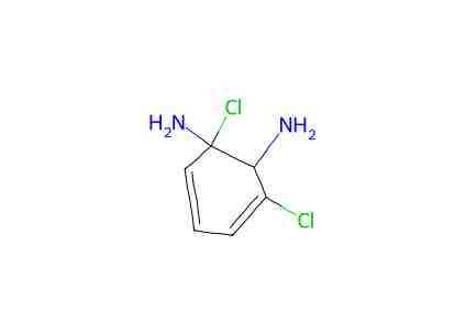 NC1C(Cl)=CC=CC1(N)Cl